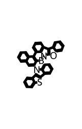 c1ccc2c3c4c(cc2c1)-n1c2c(cccc2c2sc5ccccc5c21)B4n1c2oc4ccccc4c2c2cccc-3c21